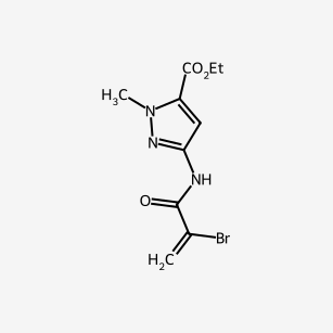 C=C(Br)C(=O)Nc1cc(C(=O)OCC)n(C)n1